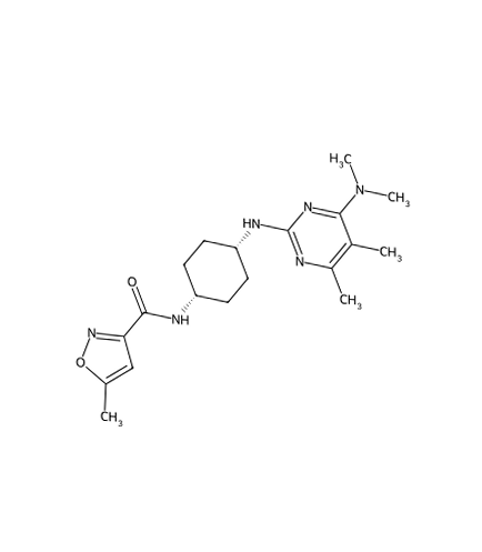 Cc1cc(C(=O)N[C@H]2CC[C@@H](Nc3nc(C)c(C)c(N(C)C)n3)CC2)no1